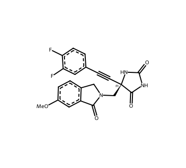 COc1ccc2c(c1)C(=O)N(C[C@@]1(C#Cc3ccc(F)c(F)c3)NC(=O)NC1=O)C2